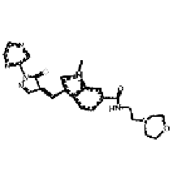 Cn1cc(C=C2C=NN(c3cnccn3)C2=O)c2ccc(C(=O)NCCN3CCOCC3)cc21